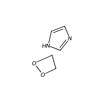 C1COO1.c1c[nH]cn1